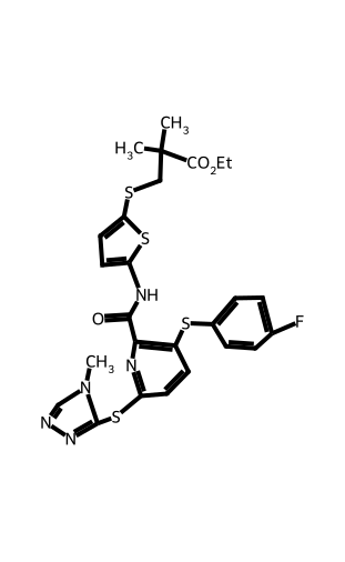 CCOC(=O)C(C)(C)CSc1ccc(NC(=O)c2nc(Sc3nncn3C)ccc2Sc2ccc(F)cc2)s1